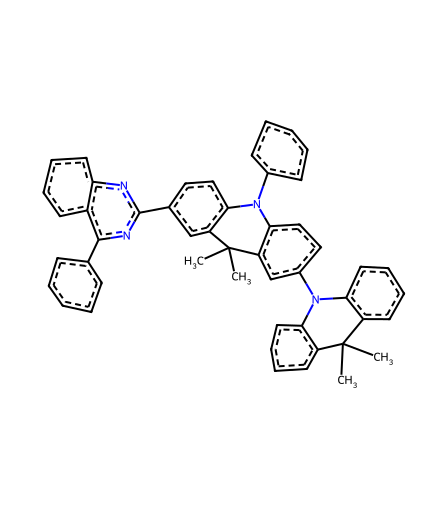 CC1(C)c2ccccc2N(c2ccc3c(c2)C(C)(C)c2cc(-c4nc(-c5ccccc5)c5ccccc5n4)ccc2N3c2ccccc2)c2ccccc21